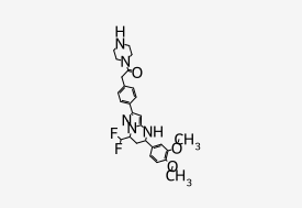 COc1ccc(C2CC(C(F)F)n3nc(-c4ccc(CC(=O)N5CCNCC5)cc4)cc3N2)cc1OC